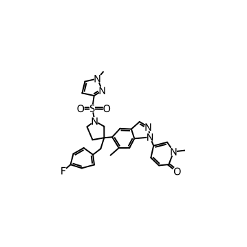 Cc1cc2c(cnn2-c2ccc(=O)n(C)c2)cc1C1(Cc2ccc(F)cc2)CCN(S(=O)(=O)c2ccn(C)n2)C1